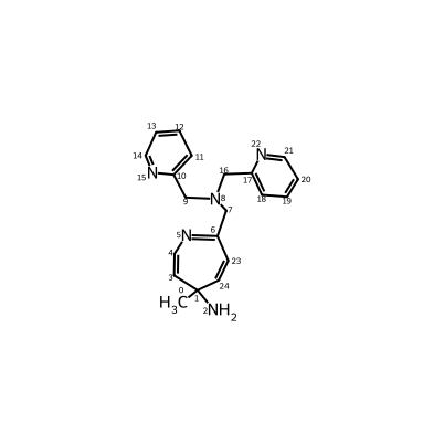 CC1(N)C=CN=C(CN(Cc2ccccn2)Cc2ccccn2)C=C1